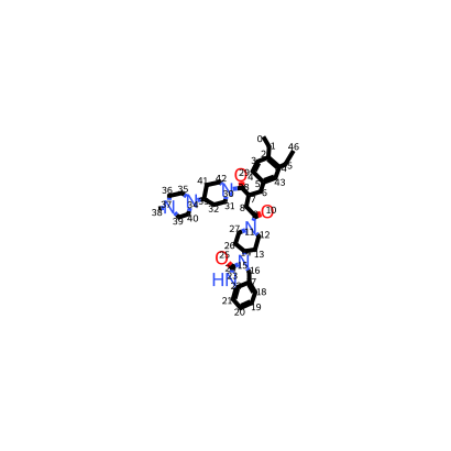 CCc1ccc(CC(CC(=O)N2CCC(N3Cc4ccccc4NC3=O)CC2)C(=O)N2CCC(N3CCN(C)CC3)CC2)cc1CC